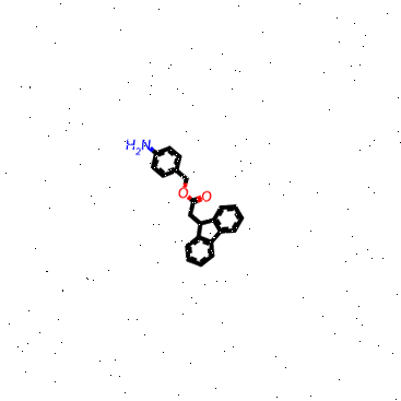 Nc1ccc(COC(=O)CC2c3ccccc3-c3ccccc32)cc1